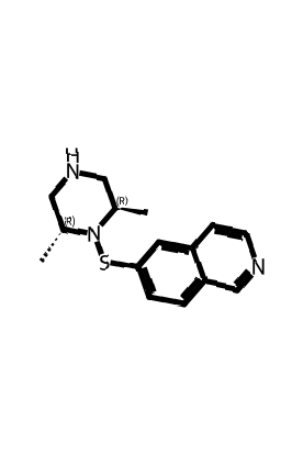 C[C@@H]1CNC[C@@H](C)N1Sc1ccc2cnccc2c1